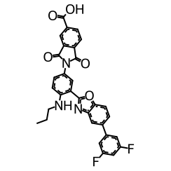 CCCNc1ccc(N2C(=O)c3ccc(C(=O)O)cc3C2=O)cc1-c1nc2cc(-c3cc(F)cc(F)c3)ccc2o1